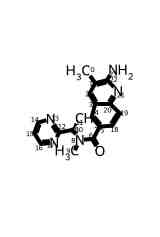 Cc1cc2cc(C(=O)N(C)[C@H](C)c3ncccn3)ccc2nc1N